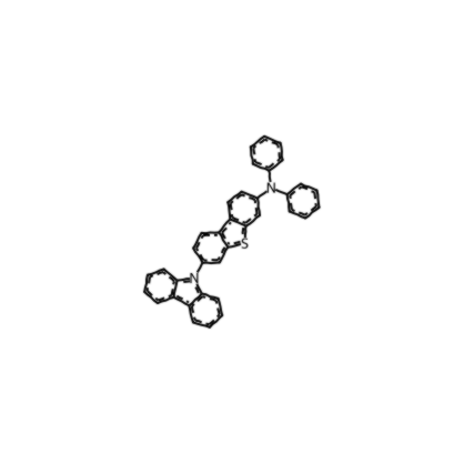 c1ccc(N(c2ccccc2)c2ccc3c(c2)sc2cc(-n4c5ccccc5c5ccccc54)ccc23)cc1